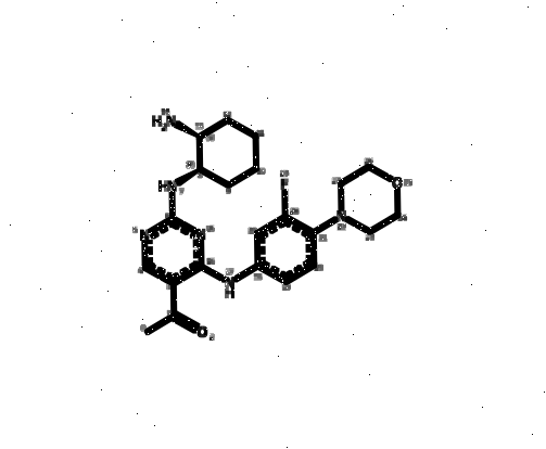 CC(=O)c1cnc(N[C@@H]2CCCC[C@@H]2N)nc1Nc1ccc(N2CCOCC2)c(F)c1